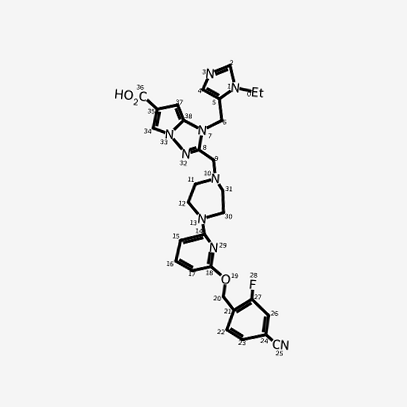 CCn1cncc1Cn1c(CN2CCN(c3cccc(OCc4ccc(C#N)cc4F)n3)CC2)nn2cc(C(=O)O)cc12